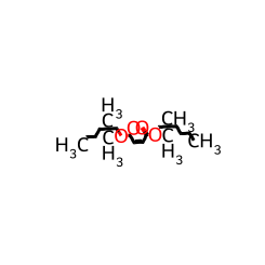 CCCCC(C)(C)COC(=O)/C=C\C(=O)OCC(C)(C)CCCC